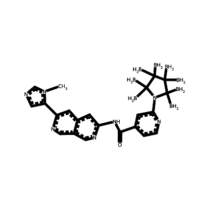 BC1(B)N(c2cc(C(=O)Nc3cc4cc(-c5cncn5C)ncc4cn3)ccn2)C(B)(B)C(B)(B)C1(B)B